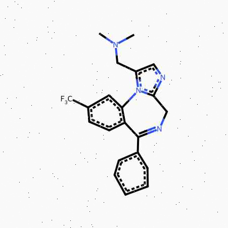 CN(C)Cc1cnc2n1-c1cc(C(F)(F)F)ccc1C(c1ccccc1)=NC2